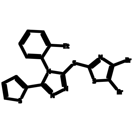 CCc1ccccc1-n1c(Sc2nc(Br)c(Br)s2)nnc1-c1cccs1